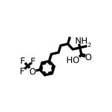 CC(CCCc1cccc(OC(F)(F)F)c1)CC(C)(N)C(=O)O